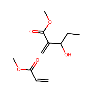 C=C(C(=O)OC)C(O)CC.C=CC(=O)OC